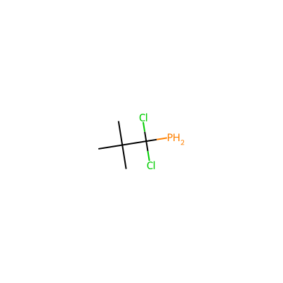 CC(C)(C)C(P)(Cl)Cl